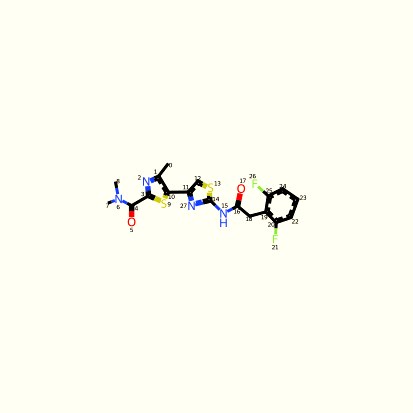 Cc1nc(C(=O)N(C)C)sc1-c1csc(NC(=O)Cc2c(F)cccc2F)n1